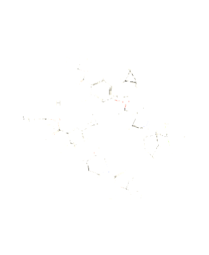 CC(C)(C)OC(=O)c1cc(C2CC2)c(OC2CCCN(C(=O)OC(C)(C)C)C2)cc1F.CC(C)(C)OC(=O)c1cc(C2CC2)c(OCC2CCN(CC3(C(F)(F)F)CCCC3)CC2)cc1F